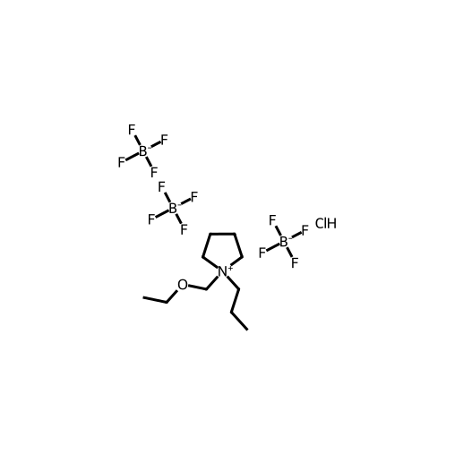 CCC[N+]1(COCC)CCCC1.Cl.F[B-](F)(F)F.F[B-](F)(F)F.F[B-](F)(F)F